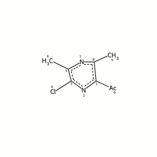 CC(=O)c1nc(Cl)c(C)nc1C